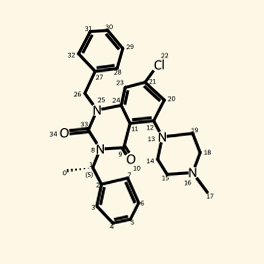 C[C@@H](c1ccccc1)n1c(=O)c2c(N3CCN(C)CC3)cc(Cl)cc2n(Cc2ccccc2)c1=O